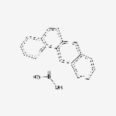 OBO.c1ccc2cc3c(ccc4ccccc43)cc2c1